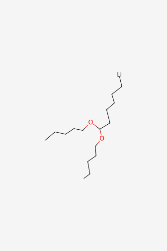 [Li][CH2]CCCCC(OCCCCC)OCCCCC